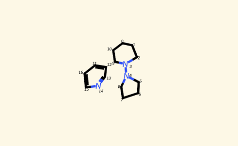 C1CCN(N2CCCC2)CC1.c1ccncc1